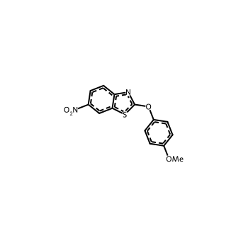 COc1ccc(Oc2nc3ccc([N+](=O)[O-])cc3s2)cc1